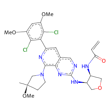 C=CC(=O)N[C@H]1COC[C@H]1Nc1ncc2cc(-c3c(Cl)c(OC)cc(OC)c3Cl)nc(N3CC[C@@](C)(OC)C3)c2n1